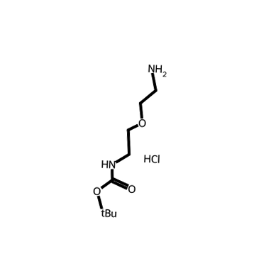 CC(C)(C)OC(=O)NCCOCCN.Cl